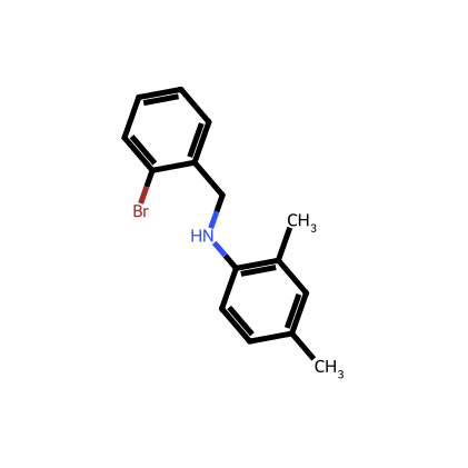 Cc1ccc(NCc2ccccc2Br)c(C)c1